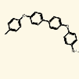 Cc1ccc(Oc2ccc(-c3ccc(Oc4ccc(N)cc4)cc3)cc2)cc1